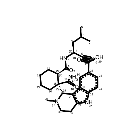 CC(C)C[C@@H](C#N)NC(=O)[C@@H]1CCCC[C@@]1(C(N)=O)C1c2c([nH]c3ccc(C(=O)O)cc23)CCN1C